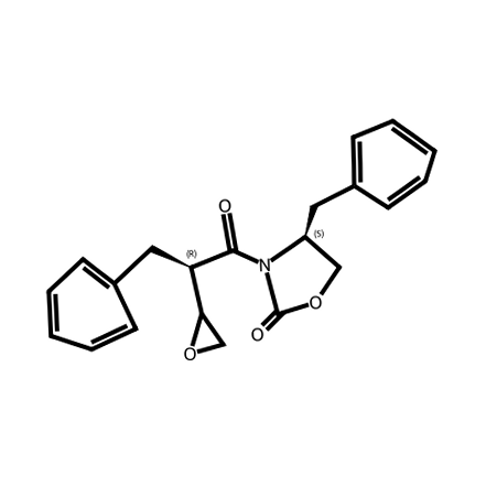 O=C1OC[C@H](Cc2ccccc2)N1C(=O)[C@H](Cc1ccccc1)C1CO1